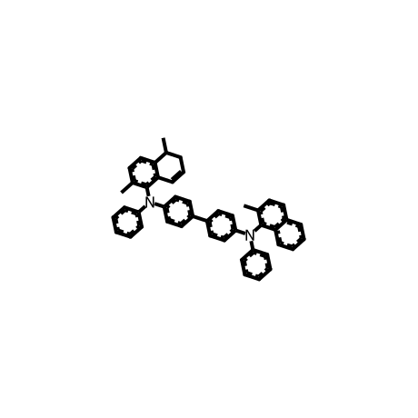 Cc1ccc2c(c1N(c1ccccc1)c1ccc(-c3ccc(N(c4ccccc4)c4c(C)ccc5ccccc45)cc3)cc1)C=CCC2C